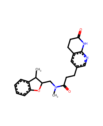 CC1c2ccccc2OC1CN(C)C(=O)CCc1cnc2c(c1)CCC(=O)N2